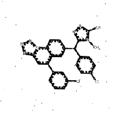 Cn1c(S)nnc1C(c1ccc(Cl)cc1)c1ccc2c(c1)c(-c1cccc(Cl)c1)cc1nnnn12